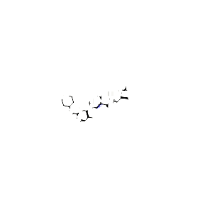 C=N/C(=C\N(C)c1nc(NC2CCOCC2)ncc1C)C(=O)NCc1nc(Cl)sc1C